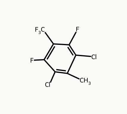 Cc1c(Cl)c(F)c(C(F)(F)F)c(F)c1Cl